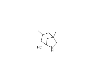 CC1CC2CC(C)(CN2)C1.Cl